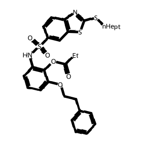 CCCCCCCSc1nc2ccc(S(=O)(=O)Nc3cccc(OCCc4ccccc4)c3OC(=O)CC)cc2s1